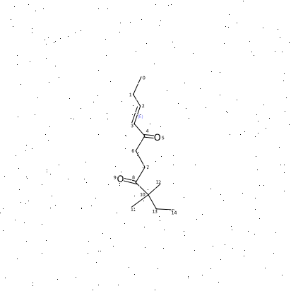 CC/C=C/C(=O)CCC(=O)C(C)(C)CC